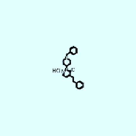 Cl.O=c1c(CCc2ccccc2)ccnn1C1CCN(Cc2ccccc2)CC1